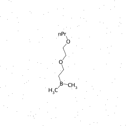 CCCOCCOCCB(C)C